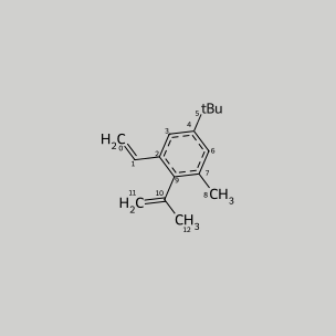 C=Cc1cc(C(C)(C)C)cc(C)c1C(=C)C